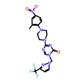 Cc1cc([N+](=O)[O-])ccc1N1CCN(c2ncn(Cn3ccc(C(F)(F)F)n3)c(=O)n2)CC1